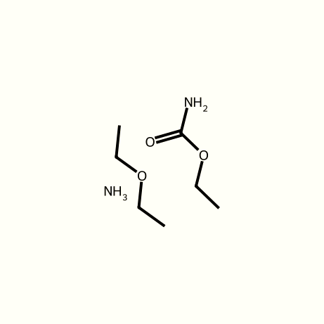 CCOC(N)=O.CCOCC.N